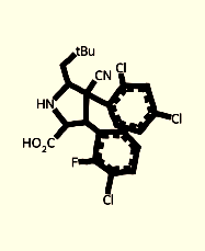 CC(C)(C)CC1NC(C(=O)O)C(c2cccc(Cl)c2F)C1(C#N)c1ccc(Cl)cc1Cl